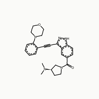 CN(C)[C@@H]1CCN(C(=O)c2ccc3[nH]nc(C#Cc4ccccc4N4CCOCC4)c3c2)C1